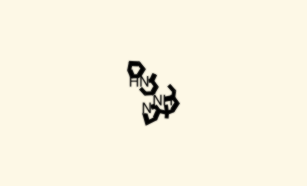 C=C(/C=C\C(C)(C)c1cccnc1N/C(=C/C(=C)Nc1ccccc1)CC)CC